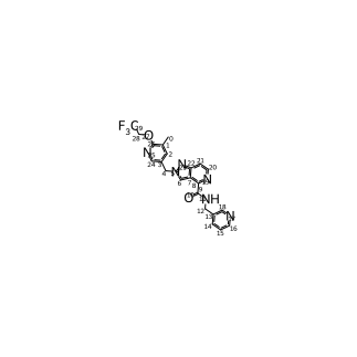 Cc1cc(Cn2cc3c(C(=O)NCc4cccnc4)nccc3n2)cnc1OCC(F)(F)F